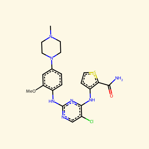 COc1cc(N2CCN(C)CC2)ccc1Nc1ncc(Cl)c(Nc2ccsc2C(N)=O)n1